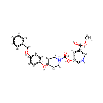 COC(=O)c1cncc(OC(=O)N2CCC(Oc3ccc(OCc4ccccc4)cc3)CC2)c1